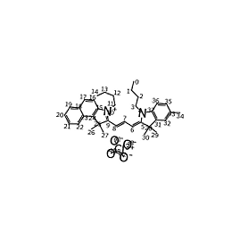 CCCCN1C(=CC=CC2=[N+](CCCC)c3ccc4ccccc4c3C2(C)C)C(C)(C)c2cc(C)ccc21.[O-][Cl+3]([O-])([O-])[O-]